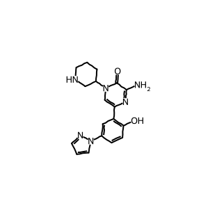 Nc1nc(-c2cc(-n3cccn3)ccc2O)cn(C2CCCNC2)c1=O